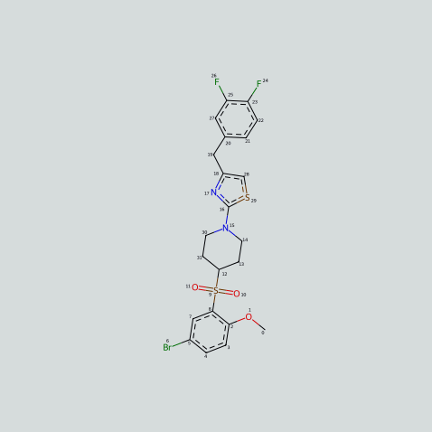 COc1ccc(Br)cc1S(=O)(=O)C1CCN(c2nc(Cc3ccc(F)c(F)c3)cs2)CC1